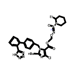 CCCCc1nc(Cl)c(C(=O)OCO/N=[N+](\[O-])N2CCCCC2CC)n1Cc1ccc(-c2ccccc2-c2nnn[nH]2)cc1